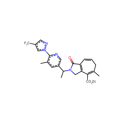 CCOC(=O)C1=C(C)CC=CC2=C1CN(C(C)c1cnc(-n3cc(C(F)(F)F)cn3)c(C)c1)C2=O